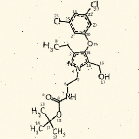 CCc1nn(CCNC(=O)OC(C)(C)C)c(CO)c1Oc1cc(Cl)cc(Cl)c1